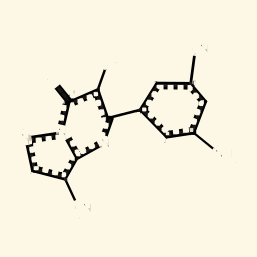 CC(C)c1c(-c2cc(N)cc(C#N)c2)[nH]c2c(C#N)cnn2c1=O